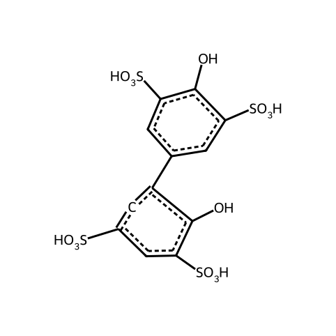 O=S(=O)(O)c1cc(-c2cc(S(=O)(=O)O)c(O)c(S(=O)(=O)O)c2)c(O)c(S(=O)(=O)O)c1